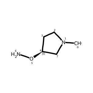 [CH]N1CC[C@H](ON)C1